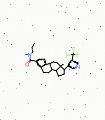 CCCN(C)C(=O)c1ccc2c(c1)CCC1C2CCC2(C)C(c3cncc(C(F)(F)F)c3)CCC12